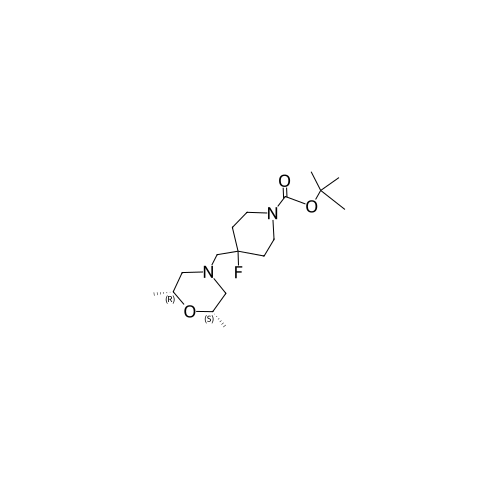 C[C@@H]1CN(CC2(F)CCN(C(=O)OC(C)(C)C)CC2)C[C@H](C)O1